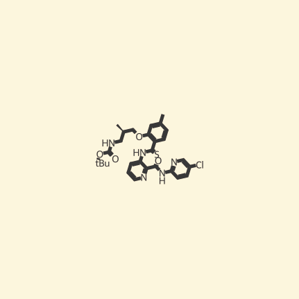 Cc1ccc(C(=S)Nc2cccnc2C(=O)Nc2ccc(Cl)cn2)c(OC[C@H](C)CNC(=O)OC(C)(C)C)c1